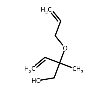 C=CCOC(C)(C=C)CO